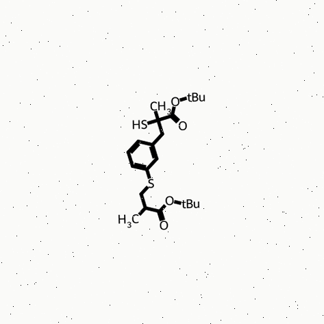 CC(CSc1cccc(CC(C)(S)C(=O)OC(C)(C)C)c1)C(=O)OC(C)(C)C